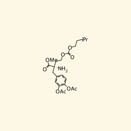 COC(=O)[C@@](N)(CCOC(=O)OCCC(C)C)Cc1ccc(OC(C)=O)c(OC(C)=O)c1